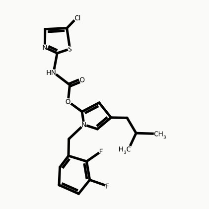 CC(C)Cc1cc(OC(=O)Nc2ncc(Cl)s2)n(Cc2cccc(F)c2F)c1